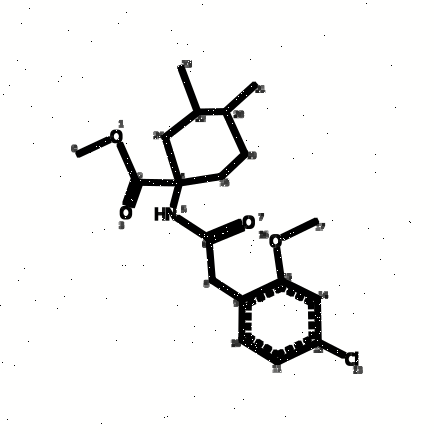 COC(=O)C1(NC(=O)Cc2ccc(Cl)cc2OC)CCC(C)C(C)C1